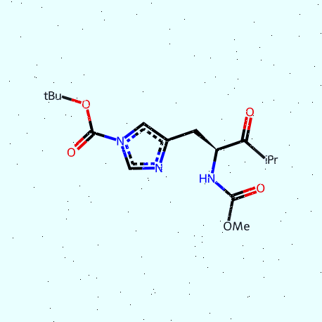 COC(=O)N[C@@H](Cc1cn(C(=O)OC(C)(C)C)cn1)C(=O)C(C)C